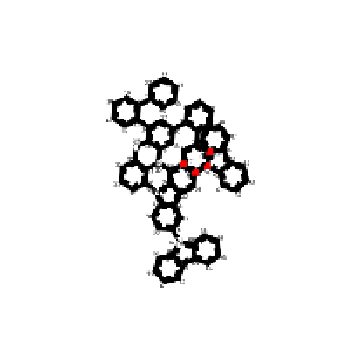 c1ccc(-c2ccccc2-c2cc3c(c(-c4ccccc4-c4ccccc4)c2)Oc2cccc4c2B3c2cc(-n3c5ccccc5c5ccccc53)cc3c5cc(-n6c7ccccc7c7ccccc76)ccc5n-4c23)cc1